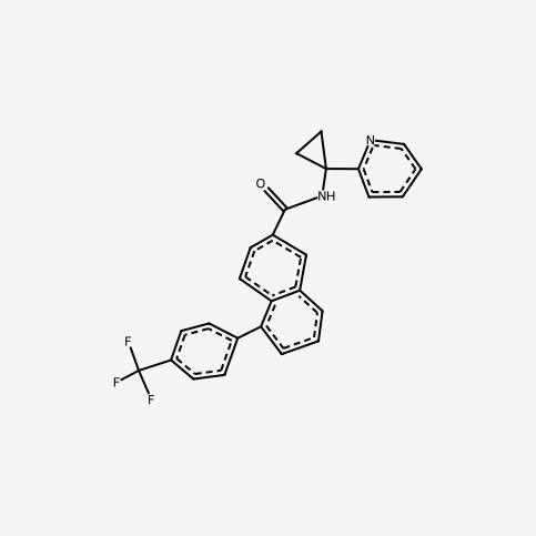 O=C(NC1(c2ccccn2)CC1)c1ccc2c(-c3ccc(C(F)(F)F)cc3)cccc2c1